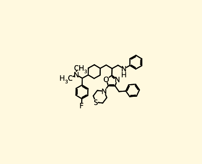 CN(C)C(c1ccc(F)cc1)C1CCC(CC(CNc2ccccc2)c2nc(Cc3ccccc3)c(N3CCSCC3)o2)CC1